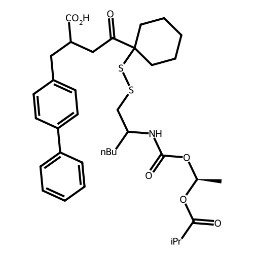 CCCCC(CSSC1(C(=O)CC(Cc2ccc(-c3ccccc3)cc2)C(=O)O)CCCCC1)NC(=O)O[C@@H](C)OC(=O)C(C)C